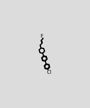 FC/C=C/CC1CCC(c2ccc(-c3ccc(Cl)cc3)cc2)CC1